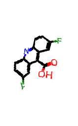 O=C(O)c1c2cc(F)ccc2nc2ccc(F)cc12